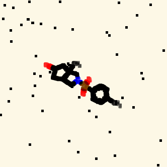 Cc1ccc(S(=O)(=O)N2CC3CC(=O)CC3(C)C2)cc1